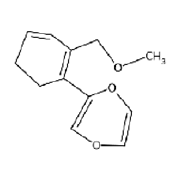 COCC1=C(C2=COC=CO2)CCC=C1